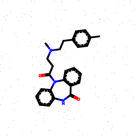 Cc1ccc(CCN(C)CCC(=O)N2c3ccccc3NC(=O)c3ccccc32)cc1